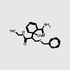 COC1(C(CSCc2ccccc2)C(=O)NCC#N)C=CC=CC1C(N)=O